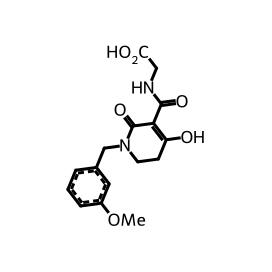 COc1cccc(CN2CCC(O)=C(C(=O)NCC(=O)O)C2=O)c1